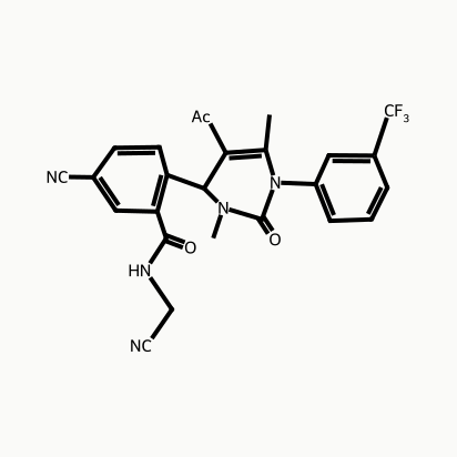 CC(=O)C1=C(C)N(c2cccc(C(F)(F)F)c2)C(=O)N(C)C1c1ccc(C#N)cc1C(=O)NCC#N